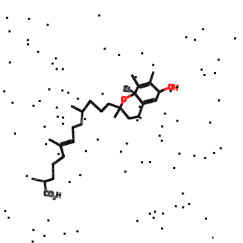 CCC12OC(C)(CCCC(C)CC/C=C(\C)CCCC(C)C(=O)O)CCC1=CC(O)C(C)=C2C